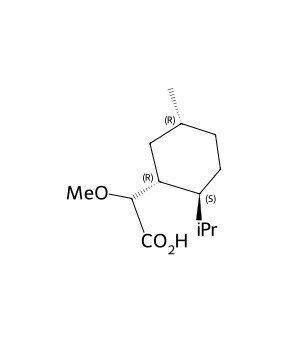 COC(C(=O)O)[C@@H]1C[C@H](C)CC[C@H]1C(C)C